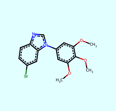 COc1cc(-n2cnc3ccc(Br)cc32)cc(OC)c1OC